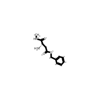 CNC(=S)[C@@H](N)CC(=O)OCc1ccccc1